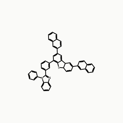 C1=CC2Sc3c(-c4cccc(-c5nc6ccccc6n5-c5ccccc5)c4)cc(-c4ccc5ccccc5c4)cc3C2C=C1c1ccc2ccccc2c1